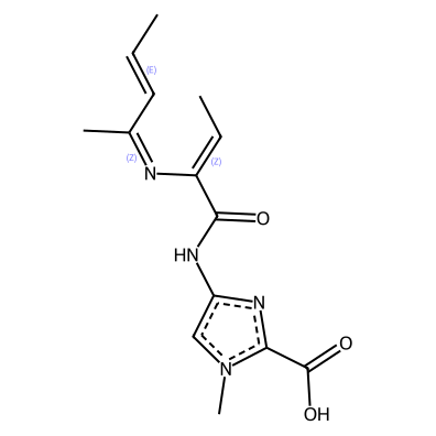 C\C=C(/N=C(C)\C=C\C)C(=O)Nc1cn(C)c(C(=O)O)n1